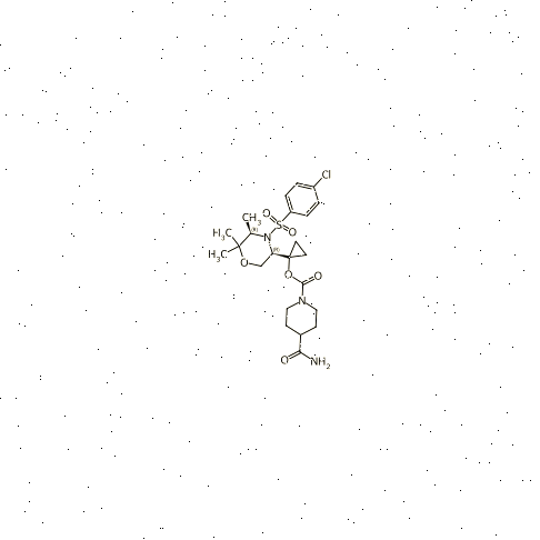 C[C@H]1N(S(=O)(=O)c2ccc(Cl)cc2)[C@@H](C2(OC(=O)N3CCC(C(N)=O)CC3)CC2)COC1(C)C